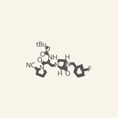 CC(C)(C)OC(=O)NC(CN1C[C@@H]2C[C@H]1C(=O)N2Cc1cccc(F)c1)C(=O)N1CCCC1C#N